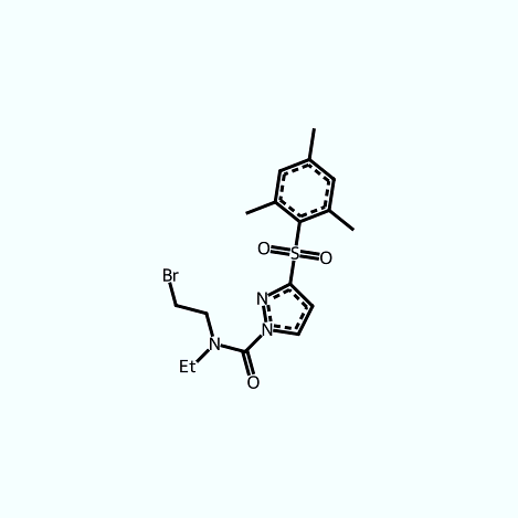 CCN(CCBr)C(=O)n1ccc(S(=O)(=O)c2c(C)cc(C)cc2C)n1